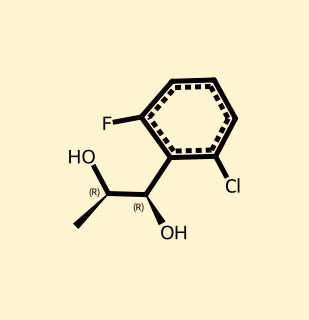 C[C@@H](O)[C@H](O)c1c(F)cccc1Cl